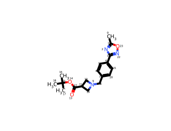 Cc1nc(-c2ccc(CN3CC(C(=O)OC(C)(C)C)C3)cc2)no1